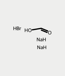 Br.O=CO.[NaH].[NaH]